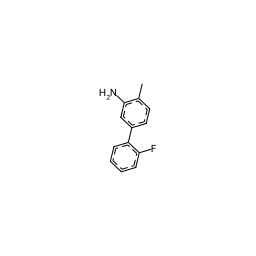 Cc1ccc(-c2ccccc2F)cc1N